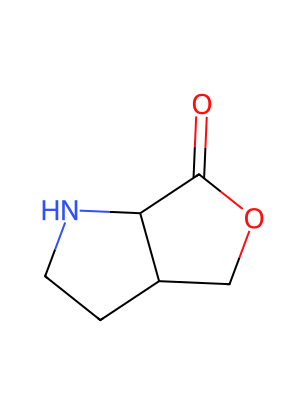 O=C1OCC2CCNC12